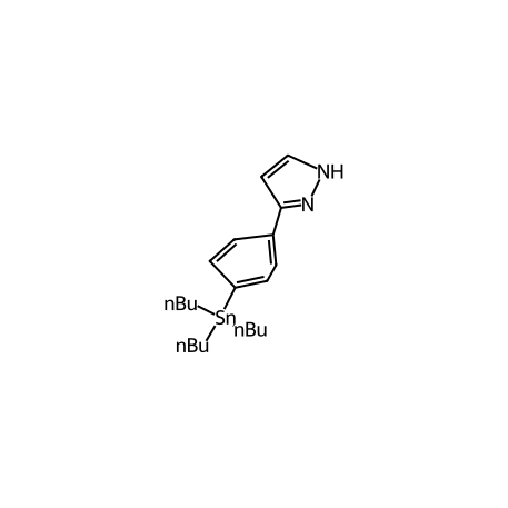 CCC[CH2][Sn]([CH2]CCC)([CH2]CCC)[c]1ccc(-c2cc[nH]n2)cc1